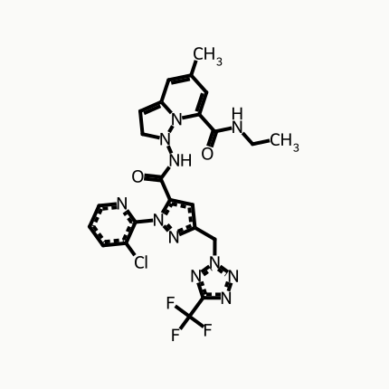 CCNC(=O)C1=CC(C)=CC2=CCN(NC(=O)c3cc(Cn4nnc(C(F)(F)F)n4)nn3-c3ncccc3Cl)N21